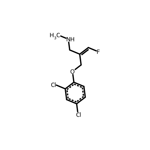 CNC/C(=C/F)COc1ccc(Cl)cc1Cl